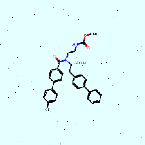 CC(C)(C)OC(=O)NCCN(C(=O)c1ccc(-c2ccc(C(F)(F)F)cc2)cc1)[C@@H](Cc1ccc(-c2ccccc2)cc1)C(=O)O